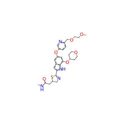 CNC(=O)CC1CN=C(c2cc3cc(Oc4ccc(COCCOC)nc4)cc(OC4CCOCC4)c3[nH]2)S1